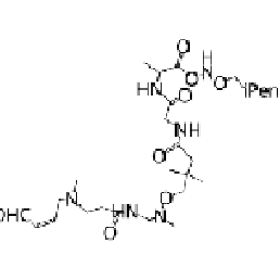 CCCC(C)CONOC(=O)C(C)NC(=O)CNC(=O)CC(C)(C)CON(C)CNC(=O)CCN(C)C/C=C\C=O